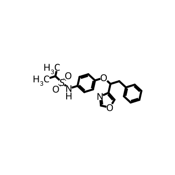 CC(C)S(=O)(=O)Nc1ccc(OC(Cc2ccccc2)c2cocn2)cc1